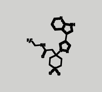 O=C(CC1(n2cc(-c3c[nH]c4ncccc34)cn2)CCS(=O)(=O)CC1)NCC(F)(F)F